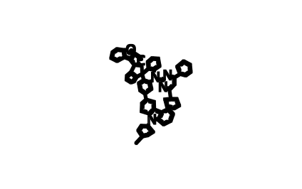 Cc1ccc(-n2c3ccccc3c3cc(-c4ccc5c(c4)N(c4nc(-c6ccccc6)cc(-c6ccccc6)n4)c4ccccc4C54c5ccccc5-c5c4ccc4oc6ccccc6c54)ccc32)cc1